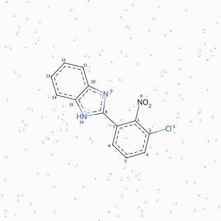 O=[N+]([O-])c1c(Cl)cccc1-c1nc2ccccc2[nH]1